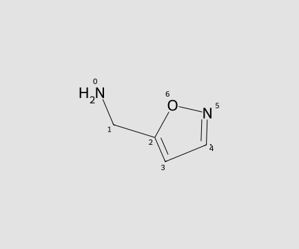 NCc1c[c]no1